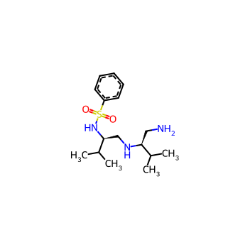 CC(C)[C@H](CN)NC[C@H](NS(=O)(=O)c1ccccc1)C(C)C